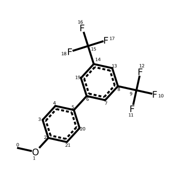 COc1ccc(-c2cc(C(F)(F)F)cc(C(F)(F)F)c2)cc1